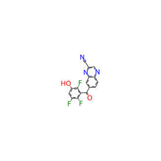 N#Cc1cnc2ccc(C(=O)c3c(F)c(O)cc(F)c3F)cc2n1